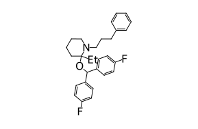 CCC1(OC(c2ccc(F)cc2)c2ccc(F)cc2)CCCCN1CCCc1ccccc1